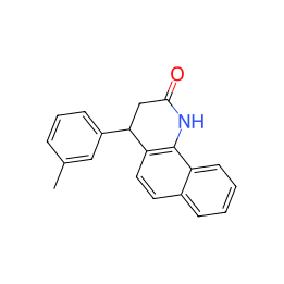 Cc1cccc(C2CC(=O)Nc3c2ccc2ccccc32)c1